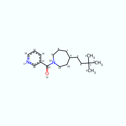 CC(C)(C)CCC1CCCN(C(=O)c2cccnc2)CC1